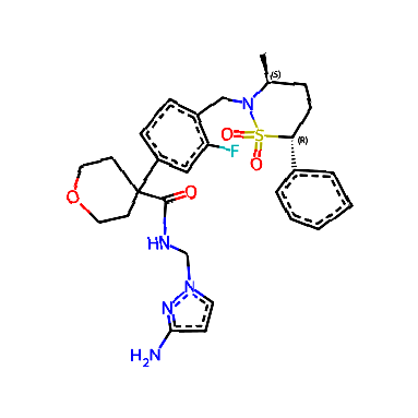 C[C@H]1CC[C@H](c2ccccc2)S(=O)(=O)N1Cc1ccc(C2(C(=O)NCn3ccc(N)n3)CCOCC2)cc1F